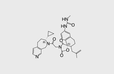 C=C(C)CC1CCc2cc(NC(=O)NC)ccc2[C@@]12OC(=O)N(CC(=O)N1Cc3cnccc3CC[C@@H]1C1CC1)C2=O